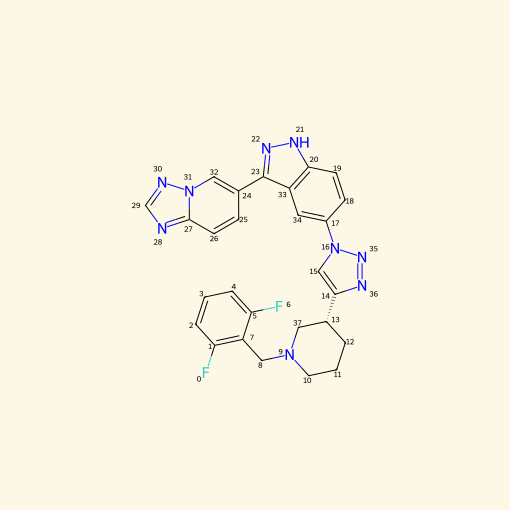 Fc1cccc(F)c1CN1CCC[C@@H](c2cn(-c3ccc4[nH]nc(-c5ccc6ncnn6c5)c4c3)nn2)C1